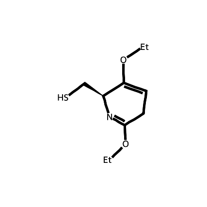 CCOC1=CCC(OCC)=N[C@H]1CS